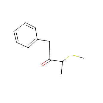 CCSC(C)C(=O)Cc1ccccc1